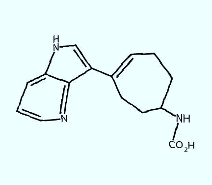 O=C(O)NC1CCC=C(c2c[nH]c3cccnc23)CC1